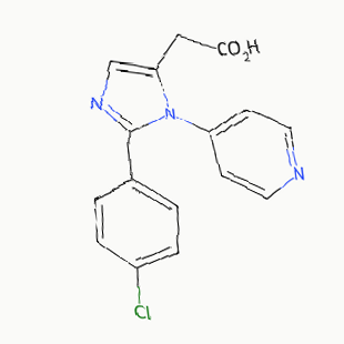 O=C(O)Cc1cnc(-c2ccc(Cl)cc2)n1-c1ccncc1